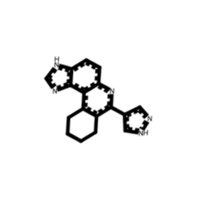 c1nc2c(ccc3nc(-c4cn[nH]c4)c4c(c32)CCCC4)[nH]1